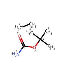 CC.CC(C)(C)OC(N)=O